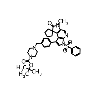 CN1C(=O)C2(CCCC2)c2c1cnc1c2c(-c2ccc(CN3CCN(C(=O)OC(C)(C)C)CC3)cc2)cn1S(=O)(=O)c1ccccc1